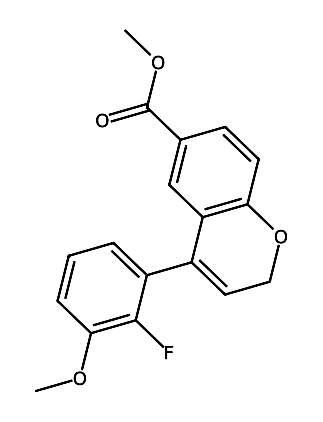 COC(=O)c1ccc2c(c1)C(c1cccc(OC)c1F)=CCO2